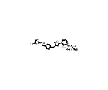 Nc1c(-c2cc(Cc3ccc(CNc4nc(Cl)cs4)cc3)no2)ccc[n+]1COP(=O)(O)O